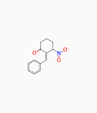 O=C1CCCC([N+](=O)[O-])C1=Cc1ccccc1